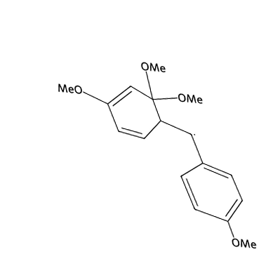 COC1=CC(OC)(OC)C([CH]c2ccc(OC)cc2)C=C1